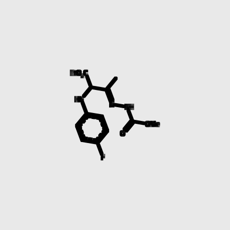 CCOC(=O)C(Nc1ccc(F)cc1)C(C)=NNC(=O)OC